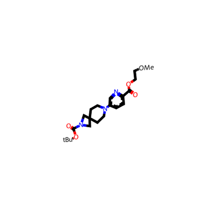 COCCOC(=O)c1ccc(N2CCC3(CC2)CN(C(=O)OC(C)(C)C)C3)cn1